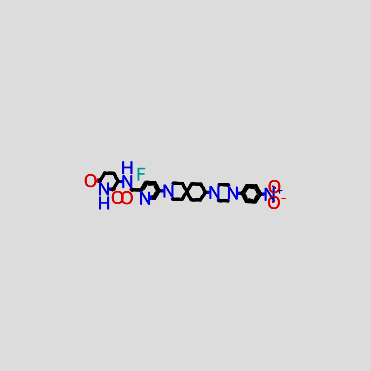 O=C1CCC(NC(=O)c2ncc(N3CCC4(CCC(N5CCN(c6ccc([N+](=O)[O-])cc6)CC5)CC4)CC3)cc2F)C(=O)N1